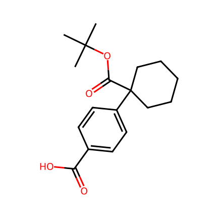 CC(C)(C)OC(=O)C1(c2ccc(C(=O)O)cc2)CCCCC1